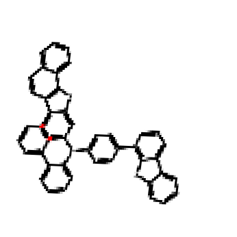 c1ccc(-c2ccccc2N(c2ccc(-c3cccc4c3sc3ccccc34)cc2)c2ccc3c(c2)sc2c4ccccc4ccc32)cc1